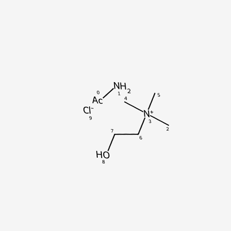 CC(N)=O.C[N+](C)(C)CCO.[Cl-]